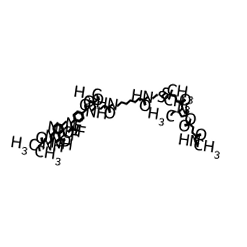 CC[C@@H]1C[C@@H](OC(=O)CCC(=O)NC)CN1C(=O)CCC(C)(C)SSCCNC(=O)CCCCCCNC(=O)CC[C@H](NC(=O)c1ccc(N(Cc2cnc3nc(NC(=O)C(C)C)[nH]c(=O)c3n2)C(=O)C(F)(F)F)cc1)C(=O)OC